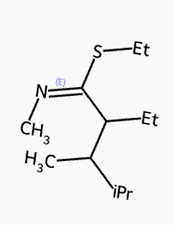 CCS/C(=N/C)C(CC)C(C)C(C)C